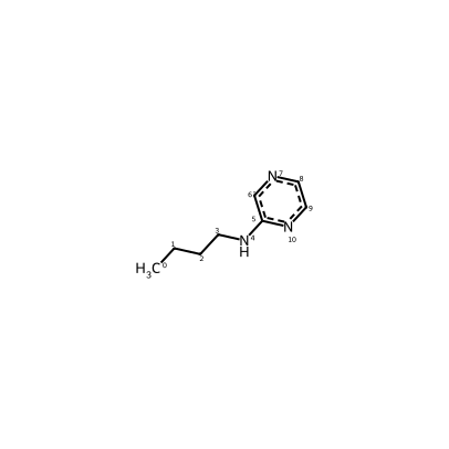 CCCCNc1[c]nccn1